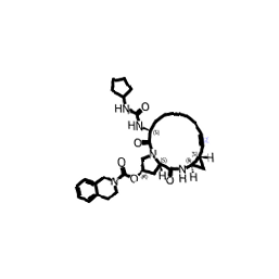 O=C(NC1CCCC1)N[C@H]1CCCCC/C=C\[C@@H]2C[C@H]2NC(=O)[C@@H]2C[C@@H](OC(=O)N3CCc4ccccc4C3)CN2C1=O